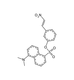 CN(C)c1cccc2c(S(=O)(=O)Oc3cccc(C=C[N+](=O)[O-])c3)cccc12